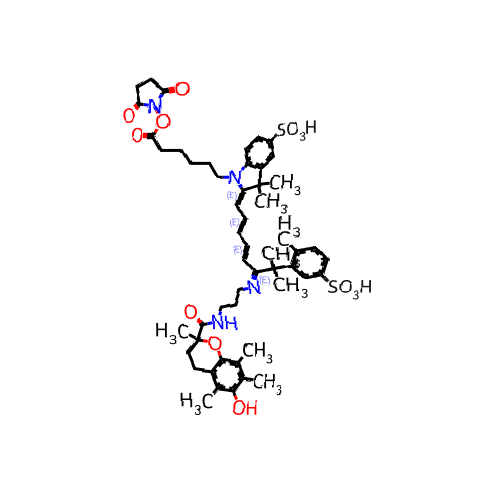 Cc1ccc(S(=O)(=O)O)cc1C(C)(C)C(/C=C/C=C/C=C1/N(CCCCCC(=O)ON2C(=O)CCC2=O)c2ccc(S(=O)(=O)O)cc2C1(C)C)=N/CCCNC(=O)C1(C)CCc2c(C)c(O)c(C)c(C)c2O1